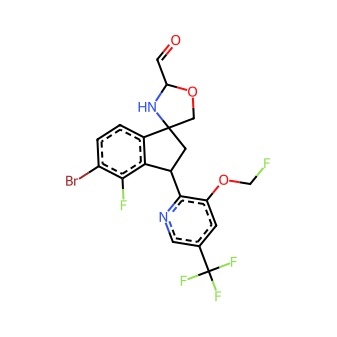 O=CC1NC2(CO1)CC(c1ncc(C(F)(F)F)cc1OCF)c1c2ccc(Br)c1F